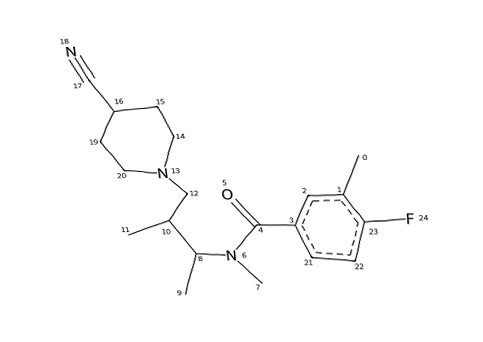 Cc1cc(C(=O)N(C)C(C)C(C)CN2CCC(C#N)CC2)ccc1F